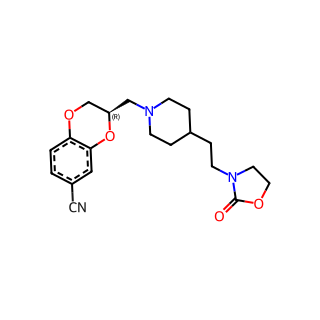 N#Cc1ccc2c(c1)O[C@H](CN1CCC(CCN3CCOC3=O)CC1)CO2